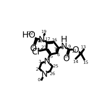 CN1CCN(c2cc(NC(=O)OC(C)(C)C)cc(N(C)C(=O)O)c2Cl)CC1